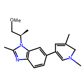 COC[C@@H](C)n1c(C)nc2ccc(C3=CN(C)CC(C)=C3)cc21